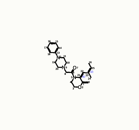 C=C1OCCN(C(=O)CN2CCN(c3ccccc3)CC2)/C1=C/C(C)=C\C